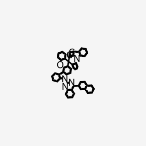 c1ccc2c(c1)Oc1c(ccc3c1c1ccccc1n3-c1nc(-c3ccc4ccccc4c3)c3ccccc3n1)C21c2ccccc2-n2c3ccccc3c3cccc1c32